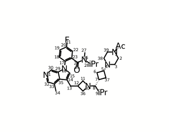 CC(=O)N1CCN([C@H]2C[C@@H](C(C(C)C)N3CC(Cc4cn(-c5ccc(F)cc5C(=O)N(C)C(C)C)c5cncc(C)c45)C3)C2)CC1